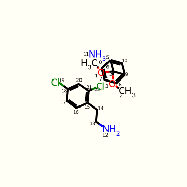 COC1(OC)c2cccc1c2.N.NCCc1ccc(Cl)cc1Cl